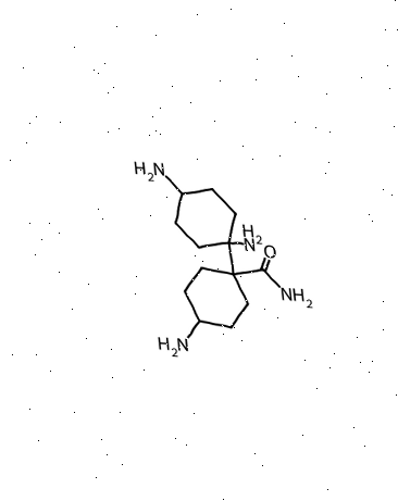 NC(=O)C1(C2(N)CCC(N)CC2)CCC(N)CC1